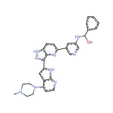 CN1CCN(c2ccnc3[nH]c(-c4n[nH]c5ccc(-c6cncc(NC(O)c7ccccc7)c6)nc45)cc23)CC1